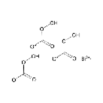 O=C([O-])OO.O=C([O-])OO.O=C([O-])OO.[Bi+3]